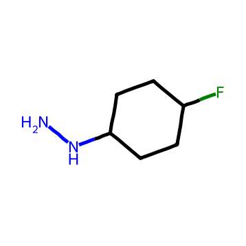 NNC1CCC(F)CC1